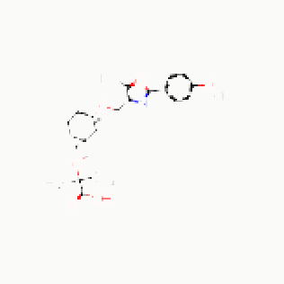 COc1ccc(-c2nc(CO[C@H]3CCC[C@@H](COC(C)(C)C(=O)O)C3)c(C)o2)cc1